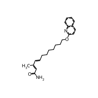 CC(C=CCCCCCCCOc1ccc2ccccc2n1)=CC(N)=O